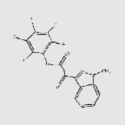 Cn1cc(C(=O)C(=O)Oc2c(F)c(F)c(F)c(F)c2F)c2ccccc21